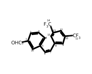 O=Cc1cccc(/C=C\c2cc(C(F)(F)F)cc(C(F)(F)F)c2)c1